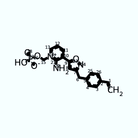 C=Cc1ccc(Cc2cc(-c3ccc[n+](COP(=O)([O-])O)c3N)on2)cc1